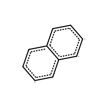 [c]1[c]c2c[c]ccc2cc1